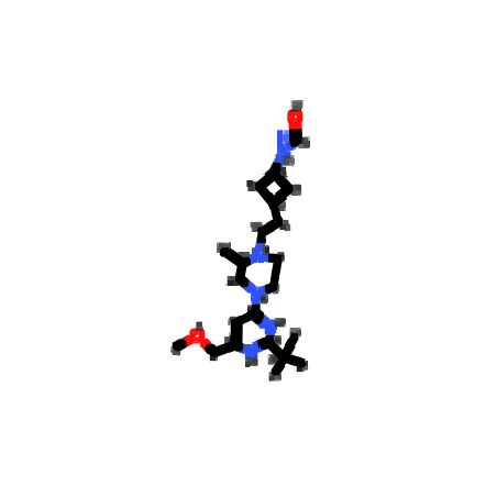 COCc1cc(N2CCN(CCC3CC(NC=O)C3)C(C)C2)nc(C(C)(C)C)n1